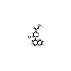 C=CC(=O)N1CCN(c2ncnc3ncccc23)[C@@H](C)C1